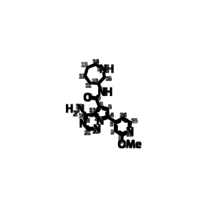 COc1cc(-c2cc(C(=O)NC3CCCCNC3)c3c(N)ncnn23)ccn1